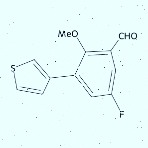 COc1c(C=O)cc(F)cc1-c1ccsc1